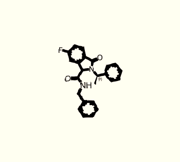 C[C@H](c1ccccc1)N1C(=O)c2ccc(F)cc2C1C(=O)NCc1ccccc1